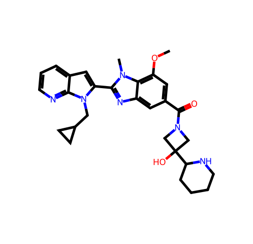 COc1cc(C(=O)N2CC(O)(C3CCCCN3)C2)cc2nc(-c3cc4cccnc4n3CC3CC3)n(C)c12